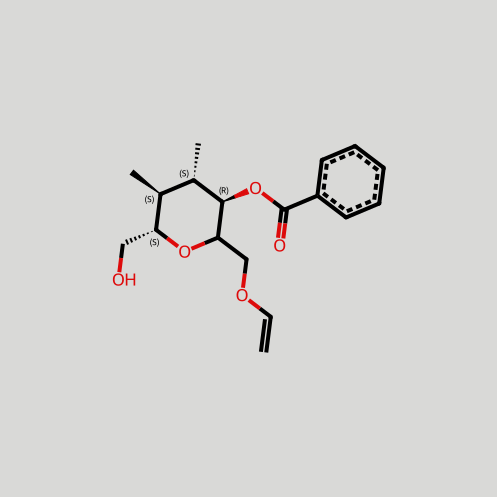 C=COCC1O[C@H](CO)[C@@H](C)[C@H](C)[C@H]1OC(=O)c1ccccc1